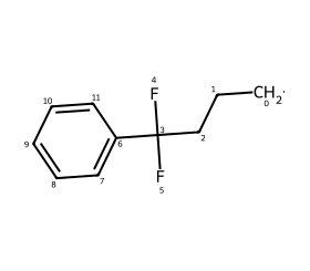 [CH2]CCC(F)(F)c1ccccc1